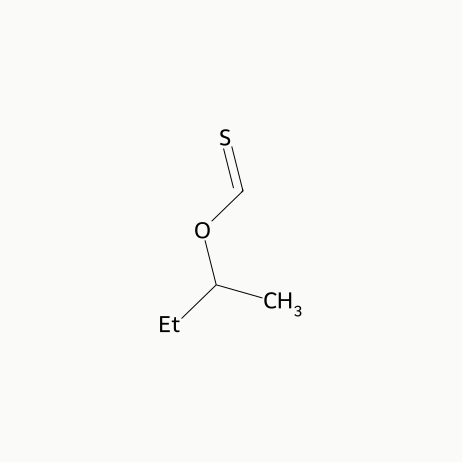 [CH2]CC(C)OC=S